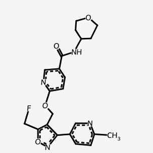 Cc1ccc(-c2noc(CF)c2COc2ccc(C(=O)NC3CCOCC3)cn2)cn1